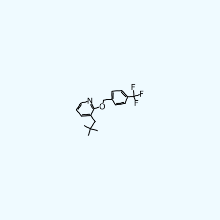 CC(C)(C)Cc1cccnc1OCc1ccc(C(F)(F)F)cc1